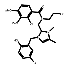 COc1ccc(C(=O)N(CCC(C)C)CC2N(Cc3cc(Br)ccc3O)C=C(C)N2C)c(Cl)c1OC